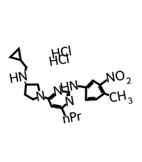 CCCc1cc(N2CC[C@H](NCC3CC3)C2)nc(Nc2ccc(C)c([N+](=O)[O-])c2)n1.Cl.Cl